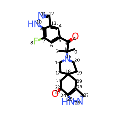 CC(C)(C(=O)c1cc(F)c2[nH]ncc2c1)N1CCC2(CC1)CC(=O)c1[nH]ncc1C2